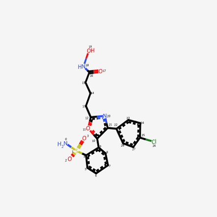 NS(=O)(=O)c1ccccc1-c1oc(CCCC(=O)NO)nc1-c1ccc(Cl)cc1